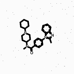 Cc1nc2ccccc2n1-c1ccc(C(=O)N(C)C2CCN(C3CCCCC3)CC2)cc1